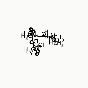 CC(=O)O[C@@H](C)C(=O)NCCNCC(=O)CCCCCN1/C(=C\C=C2/CCCC(/C=C/C3=[N+](CCO)c4ccc5ccccc5c4C3(C)C)=C2Cl)C(C)(C)c2c1ccc1ccccc21